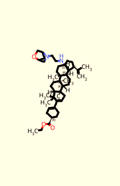 C=C(C)[C@@H]1CC[C@]2(NCCN3CC4CC3CO4)CC[C@]3(C)[C@H](CC[C@@H]4[C@@]5(C)CC=C(C6=CC[C@H](C(=O)OCC)CC6)C(C)(C)[C@@H]5CC[C@]43C)[C@@H]12